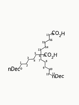 CCCCCCCCCCCCCCCC(CCCCCCCCCCCCCCC)(CCCCCC(=O)O)C(=O)O